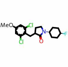 COc1cc(Cl)c(CC2CCN([C@H]3CC[C@H](F)CC3)C2=O)c(Cl)c1